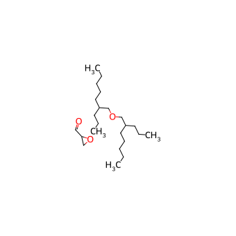 CCCCCC(CCC)COCC(CCC)CCCCC.O=CC1CO1